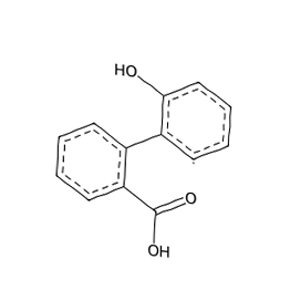 O=C(O)c1ccccc1-c1[c]cccc1O